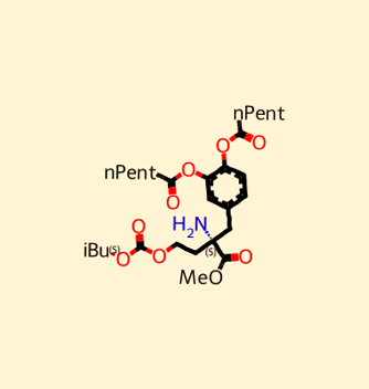 CCCCCC(=O)Oc1ccc(C[C@](N)(CCOC(=O)O[C@@H](C)CC)C(=O)OC)cc1OC(=O)CCCCC